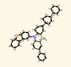 CC1C=C(c2ccccc2)C=CC1N(c1ccc(-c2ccc(-c3ccccc3)cc2)cc1)c1ccc2sc3ccccc3c2c1